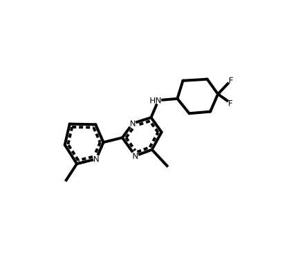 Cc1cccc(-c2nc(C)cc(NC3CCC(F)(F)CC3)n2)n1